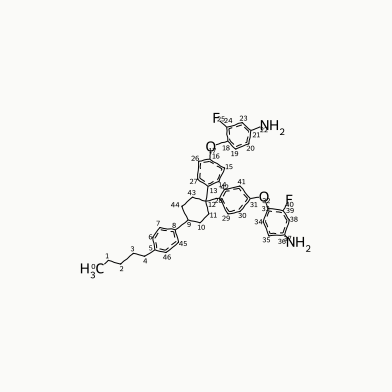 CCCCCc1ccc(C2CCC(c3ccc(Oc4ccc(N)cc4F)cc3)(c3ccc(Oc4ccc(N)cc4F)cc3)CC2)cc1